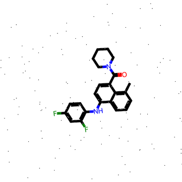 Cc1cccc2c(Nc3ccc(F)cc3F)ccc(C(=O)N3CCCCC3)c12